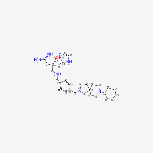 N=C(N)CC(CO)(CNCc1ccc(CN2CCC3(CCN(C4CCCCC4)CC3)C2)cc1)CC1NC=CN1